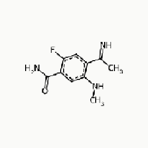 CNc1cc(C(N)=O)c(F)cc1C(C)=N